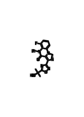 CC(C)n1c(=O)c2c(-c3noc(C(C)(C)O)n3)ncn2c2cccc(F)c21